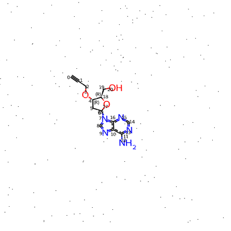 C#CCO[C@@H]1C[C@H](n2cnc3c(N)ncnc32)O[C@@H]1CO